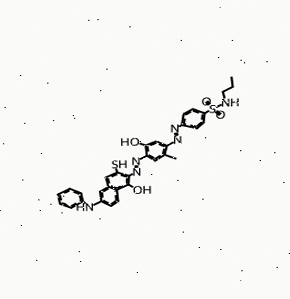 CCCNS(=O)(=O)c1ccc(/N=N/c2cc(O)c(/N=N/c3c(S)cc4cc(Nc5ccccc5)ccc4c3O)cc2C)cc1